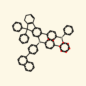 C1=CC2=C(CC1)C(c1ccccc1)(c1ccccc1)c1cc(N(c3ccc(-c4ccccc4)cc3)c3ccc(-c4cccc5ccccc45)cc3)c(-c3ccc(N(c4ccccc4)c4ccccc4)cc3)cc12